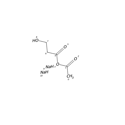 CC(=O)OC(=O)CCO.[NaH].[NaH]